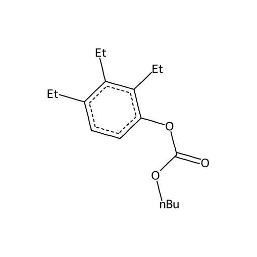 CCCCOC(=O)Oc1ccc(CC)c(CC)c1CC